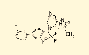 CC(C)C[C@@H](C(N)=O)N(CC#N)[C@@H](c1ccc(-c2cccc(F)c2)cc1F)C(F)(F)F